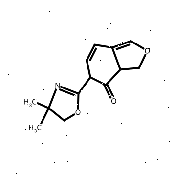 CC1(C)COC(C2C=CC3=COCC3C2=O)=N1